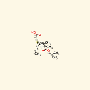 CCCCC(C)(CC(C)(C(=O)OCC(C)C)C(C)C)SCCC(=O)O